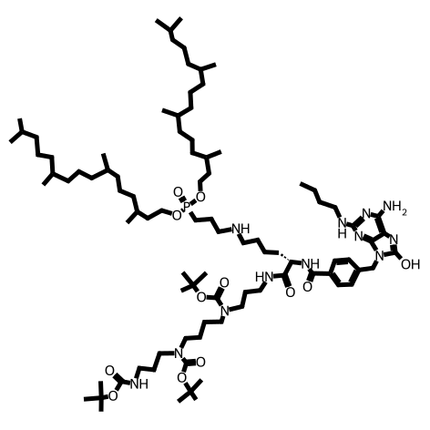 CCCCNc1nc(N)c2nc(O)n(Cc3ccc(C(=O)N[C@@H](CCCCNCCCP(=O)(OCCC(C)CCCC(C)CCCC(C)CCCC(C)C)OCCC(C)CCCC(C)CCCC(C)CCCC(C)C)C(=O)NCCCN(CCCCN(CCCNC(=O)OC(C)(C)C)C(=O)OC(C)(C)C)C(=O)OC(C)(C)C)cc3)c2n1